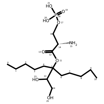 CCCCCC(CCCCC)(OC(=O)[C@@H](N)COP(=O)(O)O)C(O)CO